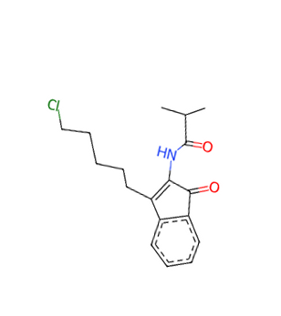 CC(C)C(=O)NC1=C(CCCCCCl)c2ccccc2C1=O